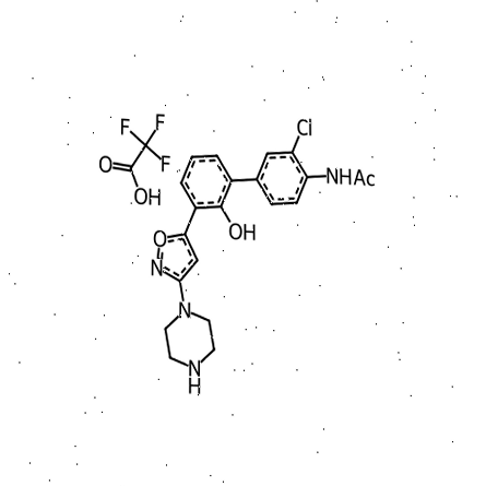 CC(=O)Nc1ccc(-c2cccc(-c3cc(N4CCNCC4)no3)c2O)cc1Cl.O=C(O)C(F)(F)F